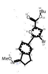 CO/N=C1/CCc2cc(-c3oc(C(=O)OC(C)(C)C)cc3Br)ccc21